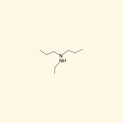 CCCN(CCC)NCC